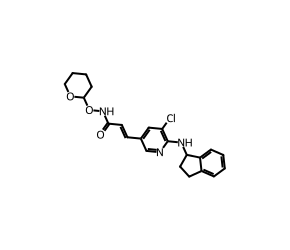 O=C(C=Cc1cnc(NC2CCc3ccccc32)c(Cl)c1)NOC1CCCCO1